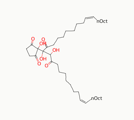 CCCCCCCC/C=C\CCCCCCCC(=O)C(O)C(O)(C(=O)CCCCCCC/C=C\CCCCCCCC)C1(O)C(=O)CCC1=O